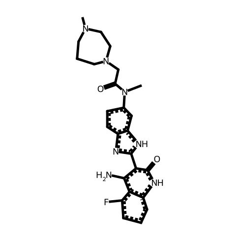 CN1CCCN(CC(=O)N(C)c2ccc3nc(-c4c(N)c5c(F)cccc5[nH]c4=O)[nH]c3c2)CC1